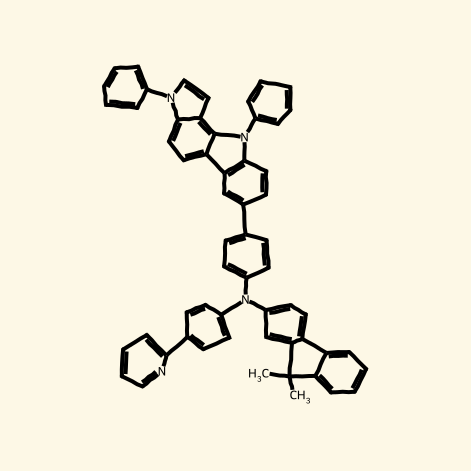 CC1(C)c2ccccc2-c2ccc(N(c3ccc(-c4ccc5c(c4)c4ccc6c(ccn6-c6ccccc6)c4n5-c4ccccc4)cc3)c3ccc(-c4ccccn4)cc3)cc21